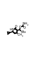 Cc1cc(C2CC2)[nH]c(=O)c1C(OC(N)=O)C(C)(C)C